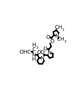 CC1CC(C(=O)OCCC(=O)N2CCCC2C(=O)N2CCCCC2C(=O)NC(C)C=O)N(C)C1